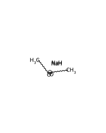 CCCCCCCCCCCCCC(=O)OC(=O)CCCCCCCCCCCCC.[NaH].[NaH]